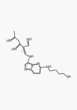 CC(=N)CC(=N)/C(C=N)=C/Nc1cnn2ccc(NCCCCC(C)C)nc12